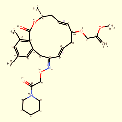 C=C(CO[C@@H]1/C=C/C[C@@H](C)OC(=O)c2c(C)cc(C)cc2CC(=NOCC(=O)N2CCCCC2)/C=C/C1)OC